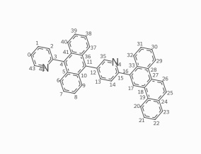 c1ccc(-c2c3ccccc3c(-c3ccc(-c4cc5c6ccccc6ccc5c5ccccc45)nc3)c3ccccc23)nc1